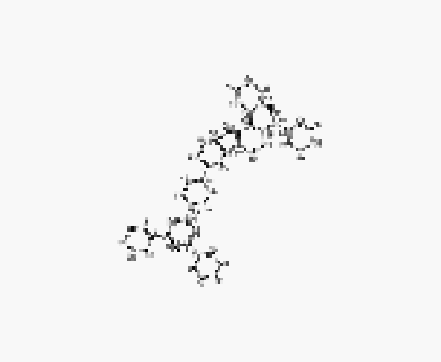 c1ccc(-c2nc(-c3ccccc3)nc(-c3ccc(-c4ccc5sc6c(ccc7c(-c8ccccc8)nc8ccccc8c76)c5c4)cc3)n2)cc1